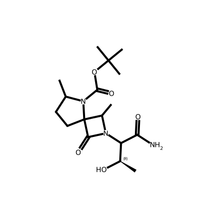 CC1CCC2(C(=O)N(C(C(N)=O)[C@@H](C)O)C2C)N1C(=O)OC(C)(C)C